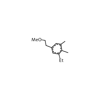 CCc1cc(CCOC)cc(C)c1C